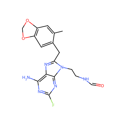 Cc1cc2c(cc1Cc1nc3c(N)nc(F)nc3n1CCNC=O)OCO2